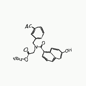 CC(=O)c1cccc(CN(CC(=O)OC(C)(C)C)C(=O)c2cccc3cc(O)ccc23)c1